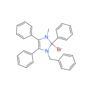 CN1C(c2ccccc2)=C(c2ccccc2)N(Cc2ccccc2)C1(Br)c1ccccc1